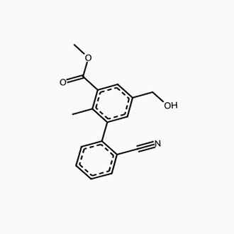 COC(=O)c1cc(CO)cc(-c2ccccc2C#N)c1C